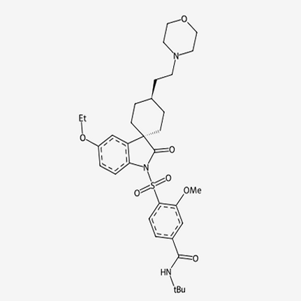 CCOc1ccc2c(c1)[C@]1(CC[C@H](CCN3CCOCC3)CC1)C(=O)N2S(=O)(=O)c1ccc(C(=O)NC(C)(C)C)cc1OC